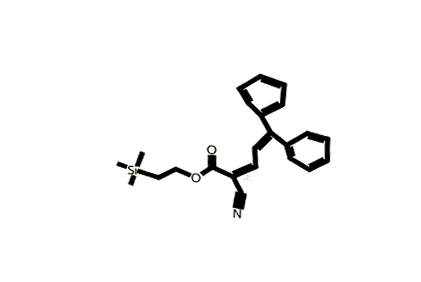 C[Si](C)(C)CCOC(=O)/C(C#N)=C\C=C(c1ccccc1)c1ccccc1